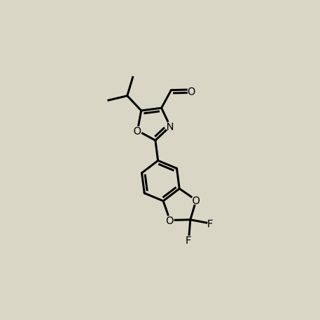 CC(C)c1oc(-c2ccc3c(c2)OC(F)(F)O3)nc1C=O